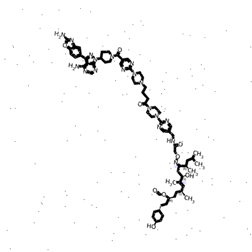 C/C(=C\[C@@H](C)CC[C@@H](CC[C@H]1CC[C@H](O)CC1)OC=O)[C@@H](O)C/C(=N/OCC(=O)NCc1cnc(N2CCN(C(=O)CCCN3CCN(c4ncc(C(=O)N5CCC(n6nc(-c7ccc8oc(N)nc8c7)c7c(N)ncnc76)CC5)cn4)CC3)CC2)nc1)[C@H](C)CC(C)C